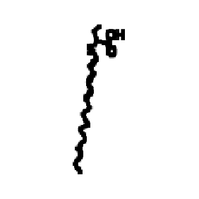 CCC=CCCCCCC=CC=CC=CSC(CC)C(=O)O